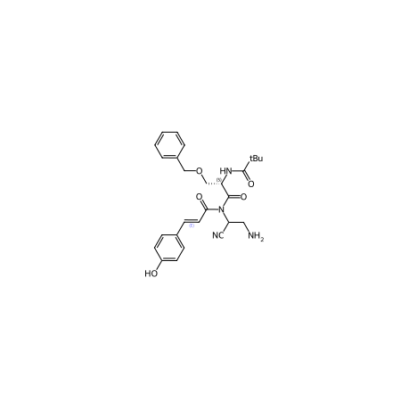 CC(C)(C)C(=O)N[C@@H](COCc1ccccc1)C(=O)N(C(=O)/C=C/c1ccc(O)cc1)C(C#N)CN